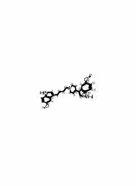 COc1ccc2[nH]cc(CCCCN3CC=C(c4c[nH]c5ccc(OC)cc45)CC3)c2c1